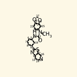 CN(C(=O)Nc1cccc(-c2nc3ccncc3s2)c1)c1ccc2c(c1)OCO2